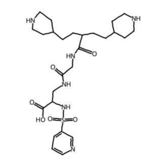 O=C(CNC(=O)C(CCC1CCNCC1)CCC1CCNCC1)NCC(NS(=O)(=O)c1cccnc1)C(=O)O